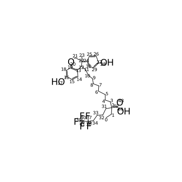 CCC(CCCCCCCCCC1c2ccc(O)cc2OCC1(C)c1ccc(O)cc1)(CCCCC(F)(F)C(F)(F)F)C(=O)O